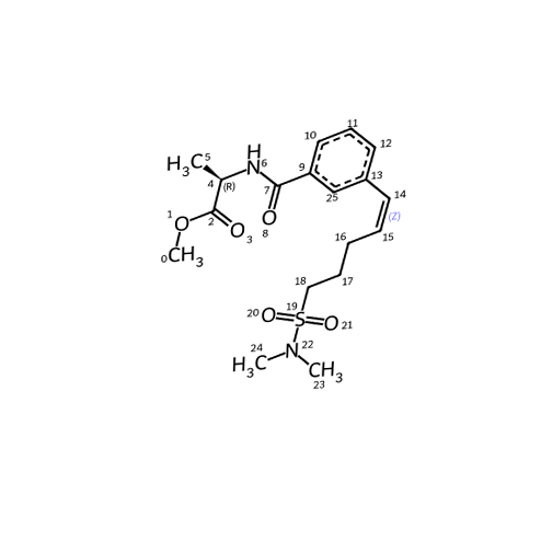 COC(=O)[C@@H](C)NC(=O)c1cccc(/C=C\CCCS(=O)(=O)N(C)C)c1